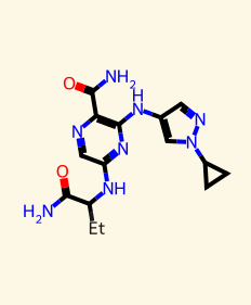 CCC(Nc1cnc(C(N)=O)c(Nc2cnn(C3CC3)c2)n1)C(N)=O